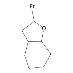 CCC1CC2CCCCC2O1